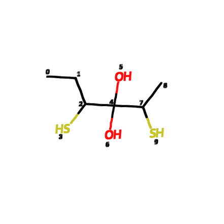 CCC(S)C(O)(O)C(C)S